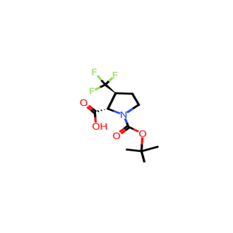 CC(C)(C)OC(=O)N1CC[C@H](C(F)(F)F)[C@H]1C(=O)O